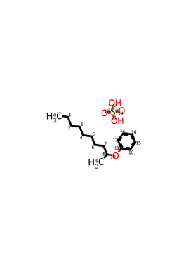 CCCCCCCCC(C)Oc1ccccc1.O=S(=O)(O)O